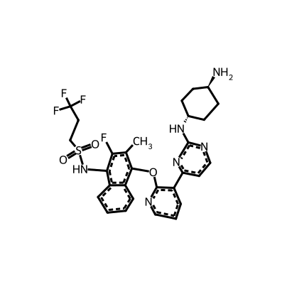 Cc1c(F)c(NS(=O)(=O)CCC(F)(F)F)c2ccccc2c1Oc1ncccc1-c1ccnc(N[C@H]2CC[C@H](N)CC2)n1